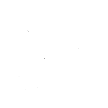 O=c1[nH]cnc2c(-c3ccccc3Cl)cn(-c3ccccc3)c12